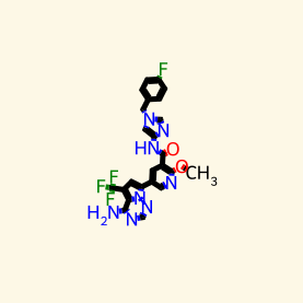 COc1ncc(-c2cc(C(F)(F)F)c3c(N)ncnn23)cc1C(=O)Nc1cn(Cc2ccc(F)cc2)cn1